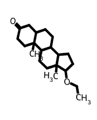 CCOC1CCC2C3CCC4CC(=O)CCC4(C)C3CCC12C